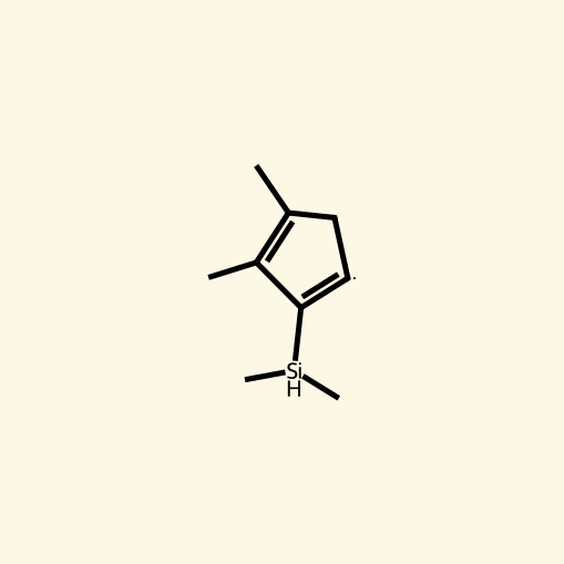 CC1=C(C)C([SiH](C)C)=[C]C1